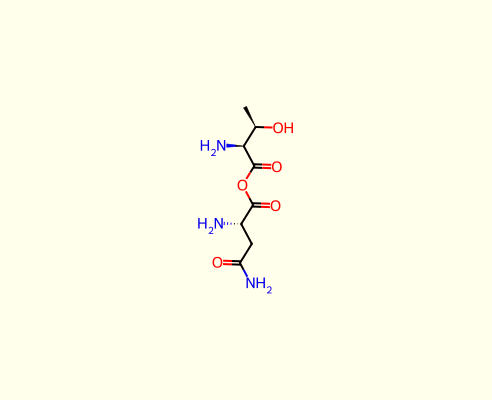 C[C@@H](O)[C@H](N)C(=O)OC(=O)[C@@H](N)CC(N)=O